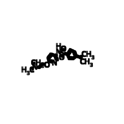 CC(C)c1ccc(S(=O)(=O)Nc2ccc(OCCN(C)C)nc2)cc1